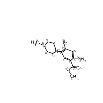 COC(=O)c1cc(N2CCN(C)CC2)c(Br)cc1N